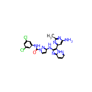 Cc1nc(N)cc(-c2c(Nc3ccn(C(=O)Nc4cc(Cl)cc(Cl)c4)n3)nc3cccnn23)n1